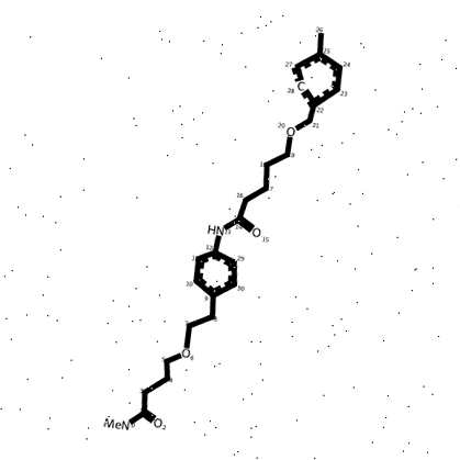 CNC(=O)CCCOCCc1ccc(NC(=O)CCCCOCc2ccc(C)cc2)cc1